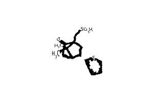 CC1(C)C2CCC1(CS(=O)(=O)O)C(=O)C2.c1ccsc1